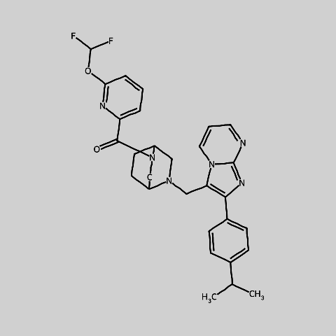 CC(C)c1ccc(-c2nc3ncccn3c2CN2CC3CCC2CN3C(=O)c2cccc(OC(F)F)n2)cc1